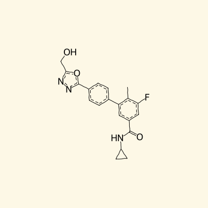 Cc1c(F)cc(C(=O)NC2CC2)cc1-c1ccc(-c2nnc(CO)o2)cc1